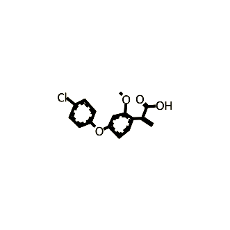 C=C(C(=O)O)c1ccc(Oc2ccc(Cl)cc2)cc1OC